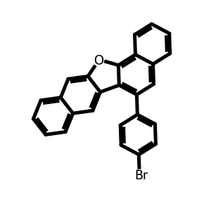 Brc1ccc(-c2cc3ccccc3c3oc4cc5ccccc5cc4c23)cc1